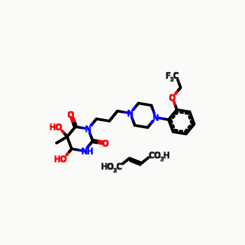 CC1(O)C(=O)N(CCCN2CCN(c3ccccc3OCC(F)(F)F)CC2)C(=O)NC1O.O=C(O)C=CC(=O)O